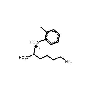 Cc1ccccc1S(=O)(=O)O.NCCCC[C@H](N)C(=O)O